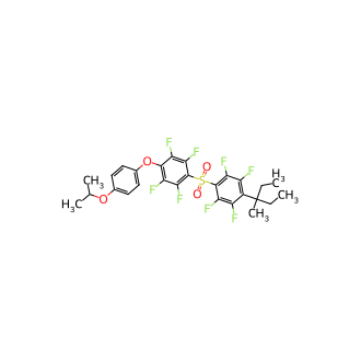 CCC(C)(CC)c1c(F)c(F)c(S(=O)(=O)c2c(F)c(F)c(Oc3ccc(OC(C)C)cc3)c(F)c2F)c(F)c1F